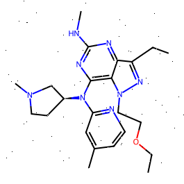 CCOCCn1nc(CC)c2nc(NC)nc(N(c3cc(C)ccn3)[C@H]3CCN(C)C3)c21